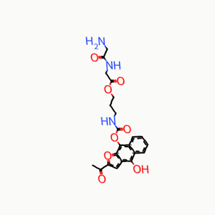 CC(=O)c1cc2c(O)c3ccccc3c(OC(=O)NCCCOC(=O)CNC(=O)CN)c2o1